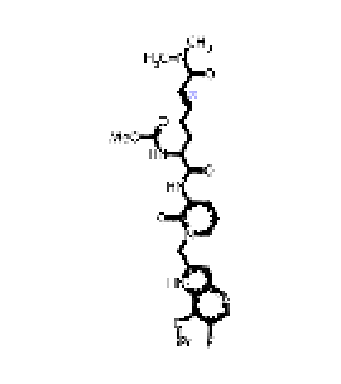 COC(=O)NC(CC/C=C/C(=O)N(C)C)C(=O)Nc1cccn(Cc2cc3ncc(F)c(OC(C)C)c3[nH]2)c1=O